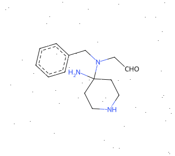 NC1(N(CC=O)Cc2ccccc2)CCNCC1